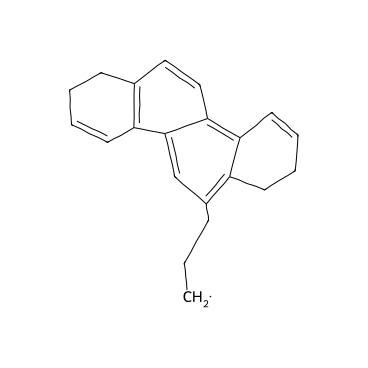 [CH2]CCc1cc2c3c(ccc2c2c1CCC=C2)CCC=C3